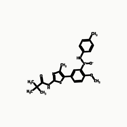 COc1ccc(-c2sc(NC(=O)C(C)(C)C)nc2C)cc1[S+]([O-])Nc1ccc(C)cc1